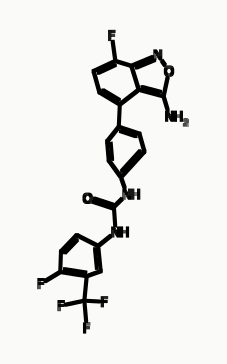 Nc1onc2c(F)ccc(-c3ccc(NC(=O)Nc4ccc(F)c(C(F)(F)F)c4)cc3)c12